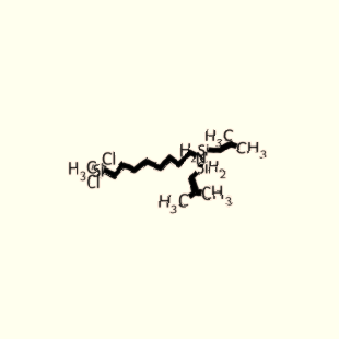 CC(C)=C[SiH2]N(CCCCCCCC[Si](C)(Cl)Cl)[SiH2]C=C(C)C